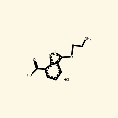 Cl.NCCOc1onc2c(C(=O)O)cccc12